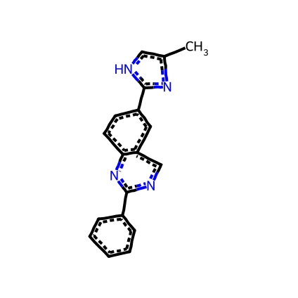 Cc1c[nH]c(-c2ccc3nc(-c4ccccc4)ncc3c2)n1